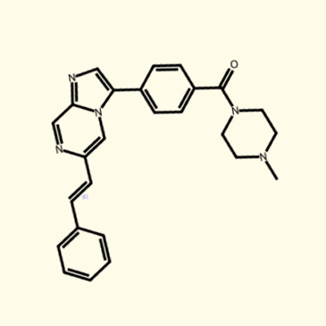 CN1CCN(C(=O)c2ccc(-c3cnc4cnc(/C=C/c5ccccc5)cn34)cc2)CC1